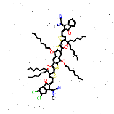 [C-]#[N+]/C(C#N)=C1\C(=C\c2cc3c(s2)-c2sc4c(OCCCCCCCC)c5cc6c7c(sc6c(OCCCCCCCC)c5cc4c2OC3(CCCCCC)CCCCCC)-c2sc(/C=C3\C(=O)c4cc(Cl)c(Cl)cc4\C3=C(\C#N)[N+]#[C-])cc2C(CCCCCC)(CCCCCC)O7)C(=O)c2ccccc21